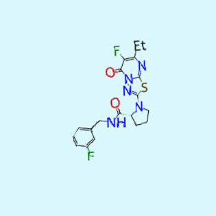 CCc1nc2sc(N3CCC[C@@H]3C(=O)NCc3cccc(F)c3)nn2c(=O)c1F